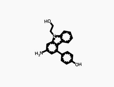 Nc1cc(-c2ccc(O)cc2)c2c3ccccc3n(CCO)c2c1